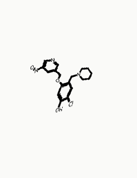 O=Nc1cncc(COc2cc(O)c(Cl)cc2CN2CCCCC2)c1